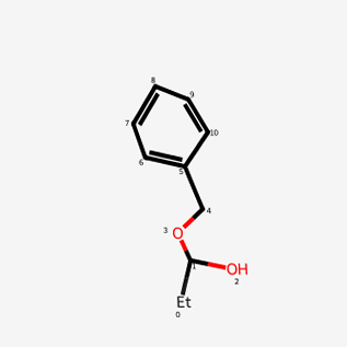 CCC(O)OCc1ccccc1